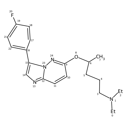 CCN(CC)CCCC(C)Oc1ccc2ncc(-c3ccc(F)cc3)n2n1